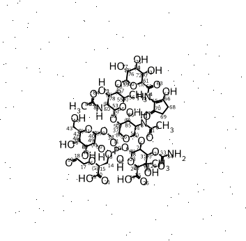 CC(=O)NC1[C@H](OC2[C@@H](OP(=O)(O)OC[C@H](OCC=O)C(=O)O)O[C@H](C(=O)O)[C@@](C)(O)[C@@H]2OC(N)=O)O[C@H](CO[C@@H]2O[C@H](CO)[C@@H](O)[C@H](O)[C@H]2O)[C@@H](O[C@@H]2O[C@H](C)[C@@H](O[C@@H]3O[C@H](C(=O)NC4=C(O)CCC4=O)[C@H](O)[C@H](O)[C@H]3O)[C@H](O)[C@H]2NC(C)=O)[C@@H]1O